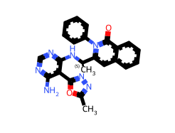 Cc1nnc(-c2c(N)ncnc2N[C@@H](C)c2cc3ccccc3c(=O)n2-c2ccccc2)o1